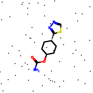 NC(=O)O[C@H]1CC[C@H](c2nncs2)CC1